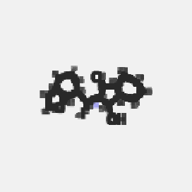 O=C1/C(=C(/F)c2cccc3ccoc23)C(O)c2ccccc21